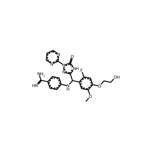 COc1cc(C(Nc2ccc(C(=N)N)cc2)c2nn(-c3ncccn3)c(=O)[nH]2)c(F)cc1OCCO